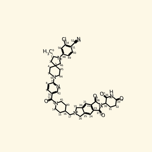 C[C@H]1CC2(CCN(c3ccc(C(=O)N4CCC(CN5Cc6cc7c(cc6C5)C(=O)N(C5CCC(=O)NC5=O)C7=O)CC4)cn3)CC2)CN1c1ccc(C#N)c(Cl)c1